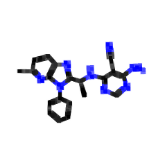 Cc1ccc2nc([C@H](C)Nc3ncnc(N)c3C#N)n(-c3ccccc3)c2n1